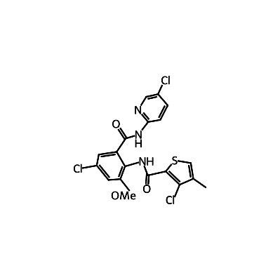 COc1cc(Cl)cc(C(=O)Nc2ccc(Cl)cn2)c1NC(=O)c1scc(C)c1Cl